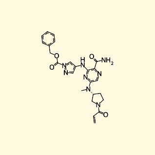 C=CC(=O)N1CC[C@@H](N(C)c2cnc(C(N)=O)c(Nc3cnn(C(=O)OCc4ccccc4)c3)n2)C1